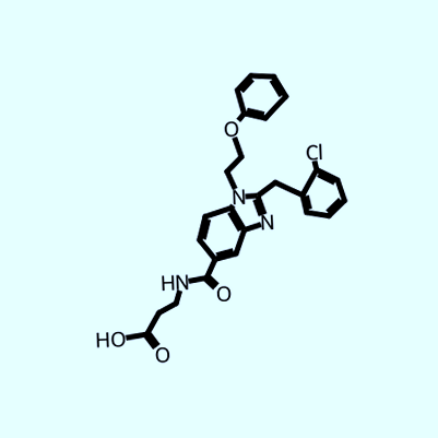 O=C(O)CCNC(=O)c1ccc2c(c1)nc(Cc1ccccc1Cl)n2CCOc1ccccc1